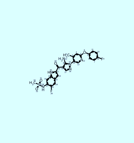 Cc1cc(Oc2ccc(F)cc2)ncc1-n1ncc(C(=O)c2cc3cc(F)c(NS(C)(=O)=O)cc3[nH]2)c1N